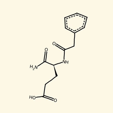 NC(=O)[C@H](CCC(=O)O)NC(=O)Cc1ccccc1